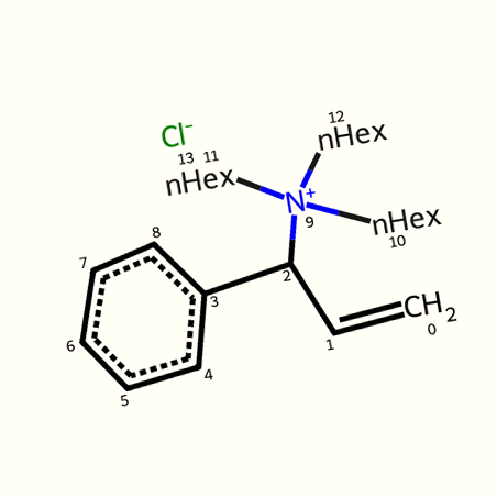 C=CC(c1ccccc1)[N+](CCCCCC)(CCCCCC)CCCCCC.[Cl-]